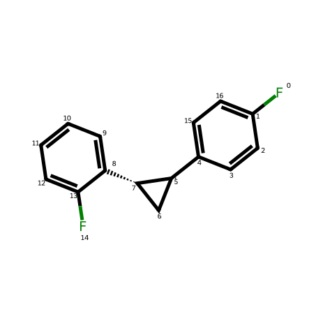 Fc1ccc([C]2C[C@@H]2c2ccccc2F)cc1